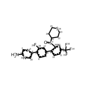 Nc1cnc(-c2ccc(-c3ccc(C(F)(F)F)nc3[S+]([O-])C3CCSCC3)cc2F)cn1